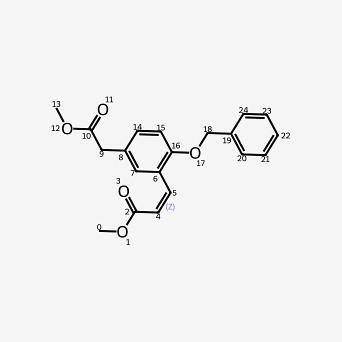 COC(=O)/C=C\c1cc(CC(=O)OC)ccc1OCc1ccccc1